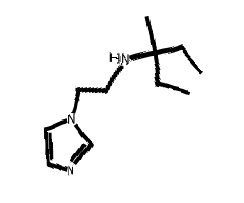 CCC(C)(CC)NCCn1ccnc1